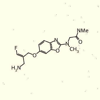 CNC(=O)CN(C)c1nc2ccc(OC/C(=C\F)CN)cc2o1